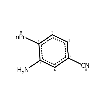 CCCc1ccc(C#N)cc1N